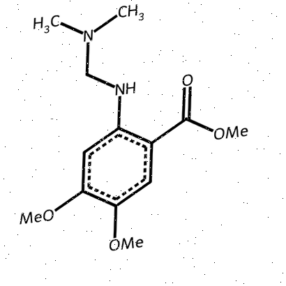 COC(=O)c1cc(OC)c(OC)cc1NCN(C)C